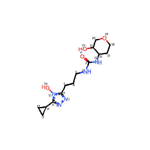 O=C(NCCCc1nnc(C2CC2)n1O)NC1CCOCC1O